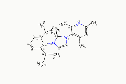 Cc1cc(C)c(N2C=CN(c3c(C(C)C)cccc3C(C)C)[C@H]2C)c(C)n1